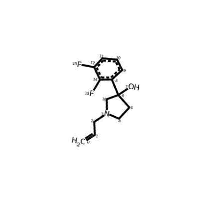 C=CCN1CCC(O)(c2cccc(F)c2F)C1